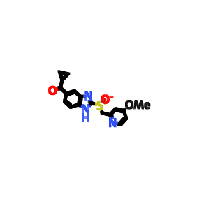 COc1ccnc(C[S+]([O-])c2nc3cc(C(=O)C4CC4)ccc3[nH]2)c1